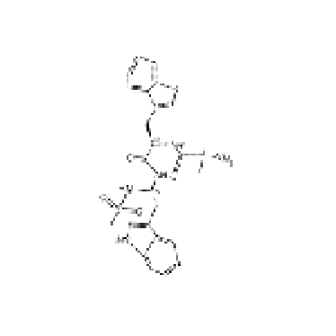 CC(C)(N)C(=O)N[C@H](Cc1csc2ccccc12)C(=O)N[C@H](Cc1c[nH]c2ccccc12)NS(C)(=O)=O